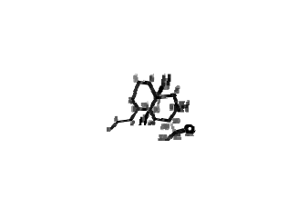 CCCC1CCC[C@@H]2CN[C@H](C(C)=O)C[C@H]12